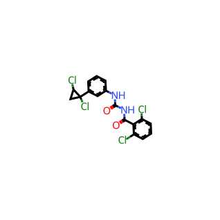 O=C(NC(=O)c1c(Cl)cccc1Cl)Nc1cccc(C2(Cl)CC2Cl)c1